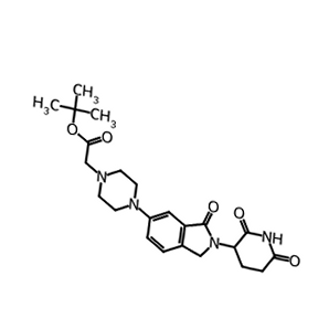 CC(C)(C)OC(=O)CN1CCN(c2ccc3c(c2)C(=O)N(C2CCC(=O)NC2=O)C3)CC1